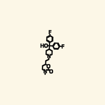 CN1CCC(CCN2CCC(C(O)(c3ccc(F)cc3)c3ccc(F)cc3)CC2)OC1=O